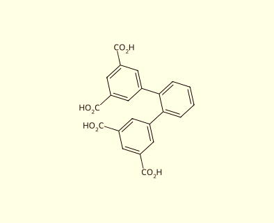 O=C(O)c1cc(C(=O)O)cc(-c2ccccc2-c2cc(C(=O)O)cc(C(=O)O)c2)c1